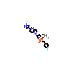 C[C@H]1C[C@@H](Cn2ccc3nc(-c4cn[nH]c4)ccc32)CN1S(=O)(=O)CCc1ccc(F)cc1